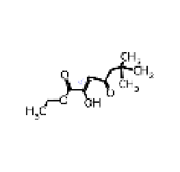 CCOC(=O)/C(O)=C/C(=O)CC(C)(C)C